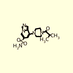 CC(C)C(=O)N1CCN(c2cc(S(N)(=O)=O)cn3cncc23)CC1